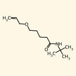 C=CCOCCCCC(=O)NC(C)(C)C